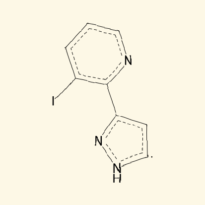 Ic1cccnc1-c1c[c][nH]n1